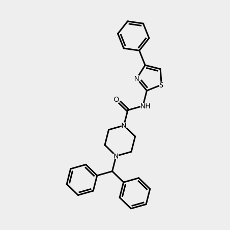 O=C(Nc1nc(-c2ccccc2)cs1)N1CCN(C(c2ccccc2)c2ccccc2)CC1